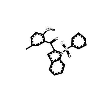 COc1ccc(C)cc1C(=O)c1cc2ccccc2n1S(=O)(=O)c1ccccc1